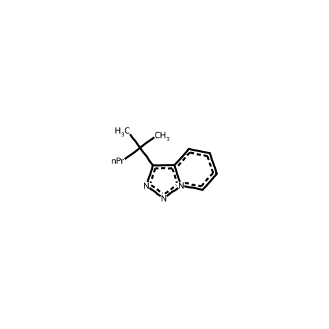 CCCC(C)(C)c1nnn2ccccc12